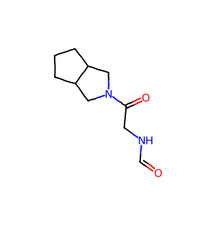 O=CNCC(=O)N1CC2CCCC2C1